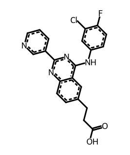 O=C(O)CCc1ccc2nc(-c3cccnc3)nc(Nc3ccc(F)c(Cl)c3)c2c1